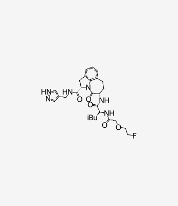 CC[C@H](C)[C@H](NC(=O)COCCF)C(=O)N[C@H]1CCc2cccc3c2N(C1=O)[C@H](C(=O)NCc1cn[nH]c1)C3